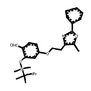 Cc1oc(-c2ccccc2)nc1CCOc1ccc(C=O)c(O[Si](C)(C)C(C)(C)C(C)C)c1